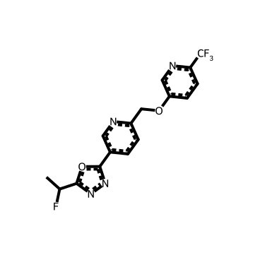 CC(F)c1nnc(-c2ccc(COc3ccc(C(F)(F)F)nc3)nc2)o1